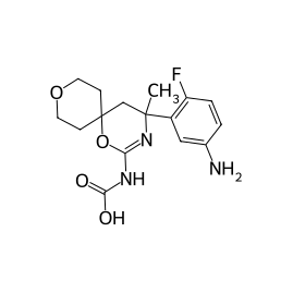 CC1(c2cc(N)ccc2F)CC2(CCOCC2)OC(NC(=O)O)=N1